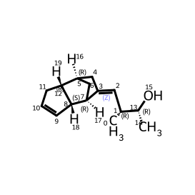 C[C@H](/C=C1/C[C@H]2C[C@@H]1[C@@H]1C=CC[C@H]21)[C@@H](C)O